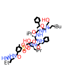 CC/C=C(/CNC(=O)c1ccc(C)c(S(=O)(=O)OCC(C)(O)C(=O)[C@H](CC(C)C)NC(=O)[C@H](Cc2ccccc2)NC(=O)[C@H](CC(C)C)NC(=O)[C@H](CCc2ccccc2)NC(=O)CN(CCO)CCC(C)CC)c1)N=N